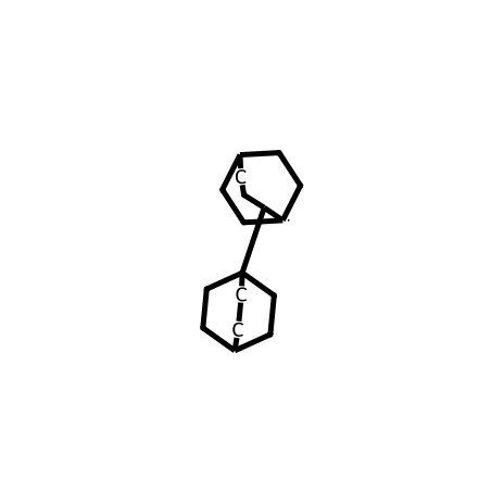 C1CC2CC[C]1C(C13CCC(CC1)CC3)CC2